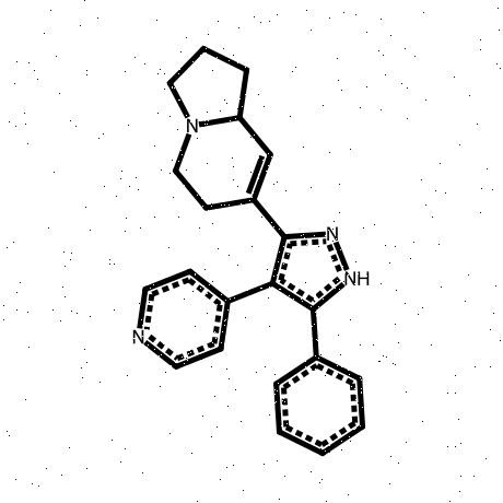 C1=C(c2n[nH]c(-c3ccccc3)c2-c2ccncc2)CCN2CCCC12